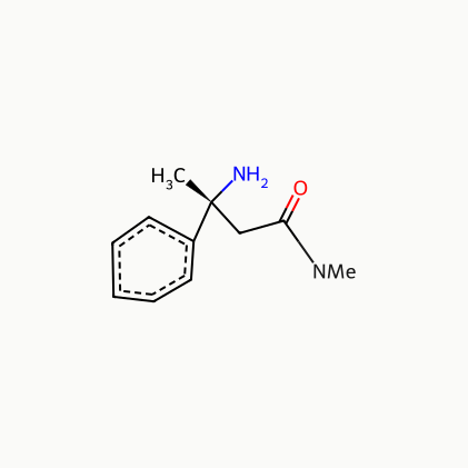 CNC(=O)C[C@@](C)(N)c1ccccc1